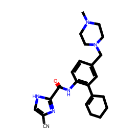 CN1CCN(Cc2ccc(NC(=O)c3nc(C#N)c[nH]3)c(C3=CCCCC3)c2)CC1